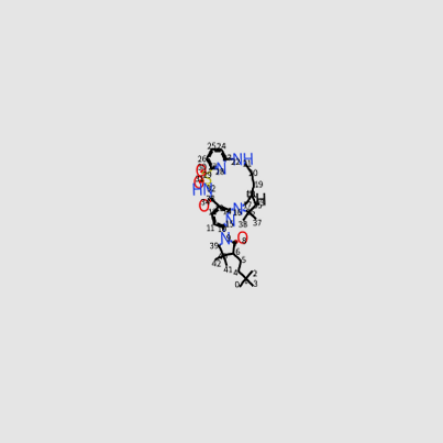 CC(C)(C)CCC1C(=O)N(c2ccc3c(n2)N2C[C@@H](CCCNc4cccc(n4)S(=O)(=O)NC3=O)CC2(C)C)CC1(C)C